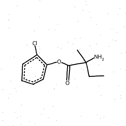 CCC(C)(N)C(=O)Oc1ccccc1Cl